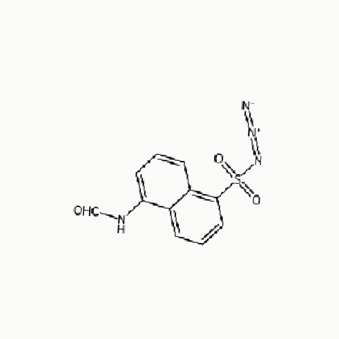 [N-]=[N+]=NS(=O)(=O)c1cccc2c(NC=O)cccc12